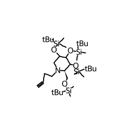 C#CCCN1CC(O[Si](C)(C)C(C)(C)C)C(O[Si](C)(C)C(C)(C)C)C(O[Si](C)(C)C(C)(C)C)[C@H]1CO[Si](C)(C)C(C)(C)C